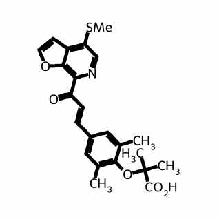 CSc1cnc(C(=O)/C=C/c2cc(C)c(OC(C)(C)C(=O)O)c(C)c2)c2occc12